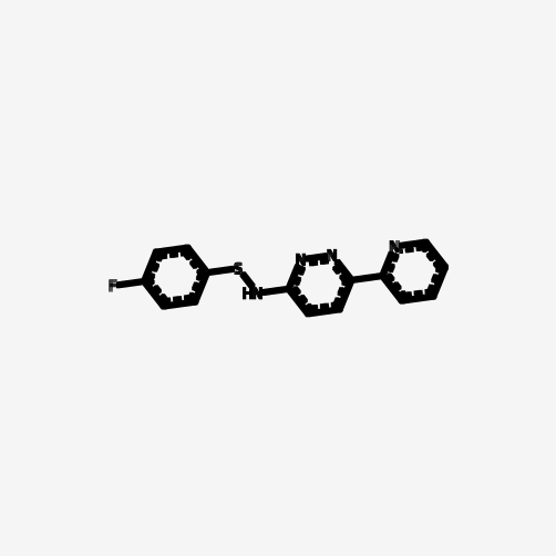 Fc1ccc(SNc2ccc(-c3ccccn3)nn2)cc1